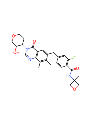 Cc1c(Cc2ccc(C(=O)NC3(C)COC3)c(F)c2)cc2c(=O)n([C@H]3CCOC[C@@H]3O)cnc2c1C